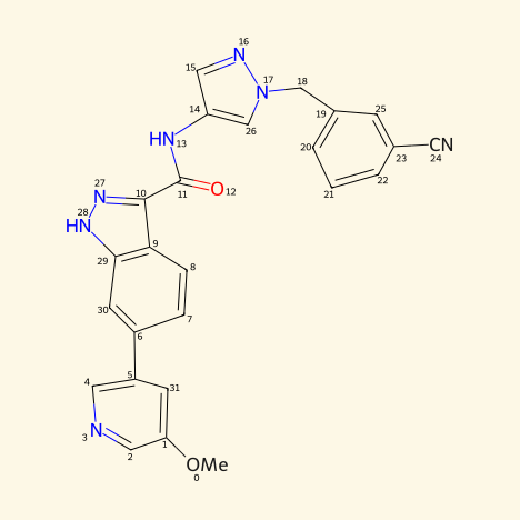 COc1cncc(-c2ccc3c(C(=O)Nc4cnn(Cc5cccc(C#N)c5)c4)n[nH]c3c2)c1